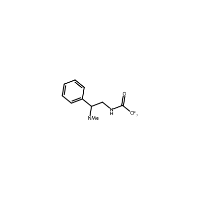 CNC(CNC(=O)C(F)(F)F)c1ccccc1